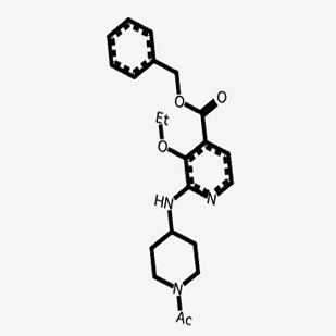 CCOc1c(C(=O)OCc2ccccc2)ccnc1NC1CCN(C(C)=O)CC1